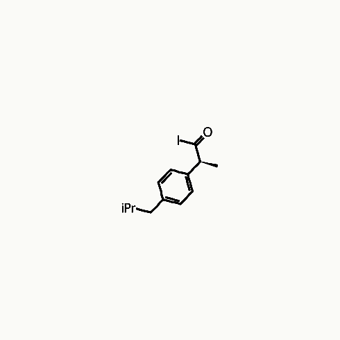 CC(C)Cc1ccc([C@H](C)C(=O)I)cc1